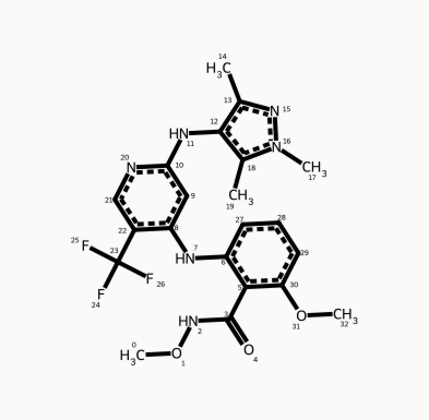 CONC(=O)c1c(Nc2cc(Nc3c(C)nn(C)c3C)ncc2C(F)(F)F)cccc1OC